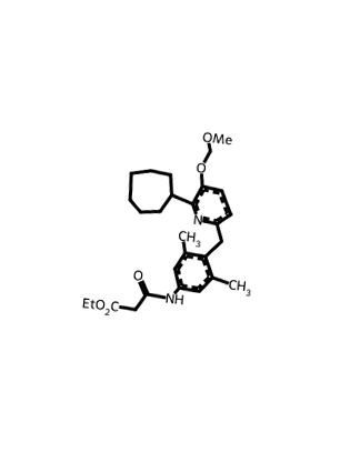 CCOC(=O)CC(=O)Nc1cc(C)c(Cc2ccc(OCOC)c(C3CCCCCC3)n2)c(C)c1